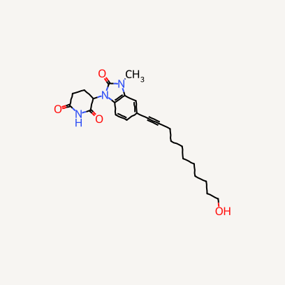 Cn1c(=O)n(C2CCC(=O)NC2=O)c2ccc(C#CCCCCCCCCCO)cc21